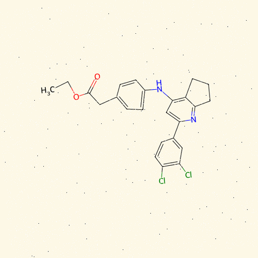 CCOC(=O)Cc1ccc(Nc2cc(-c3ccc(Cl)c(Cl)c3)nc3c2CCC3)cc1